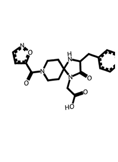 O=C(O)CN1C(=O)C(Cc2ccccc2)NC12CCN(C(=O)c1ccno1)CC2